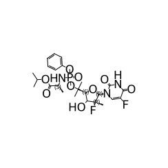 CC(C)OC(=O)[C@H](C)NP(=O)(Oc1ccccc1)OC(C)(C)[C@H]1O[C@@H](n2cc(F)c(=O)[nH]c2=O)[C@](C)(F)C1O